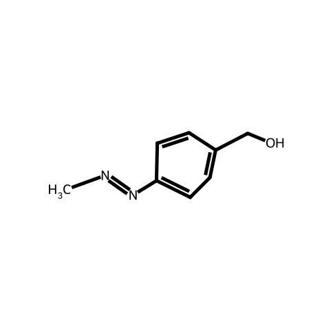 C/N=N/c1ccc(CO)cc1